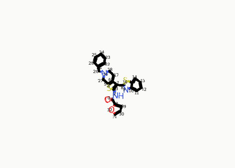 O=C(Nc1sc2c(c1-c1nc3ccccc3s1)CCN(Cc1ccccc1)C2)c1ccco1